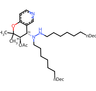 CCCCCCCCCCCCCCCCNN(CCCCCCCCCCCCCCCC)[C@H]1c2cnccc2OC(C)(C)[C@@H]1OC(C)=O